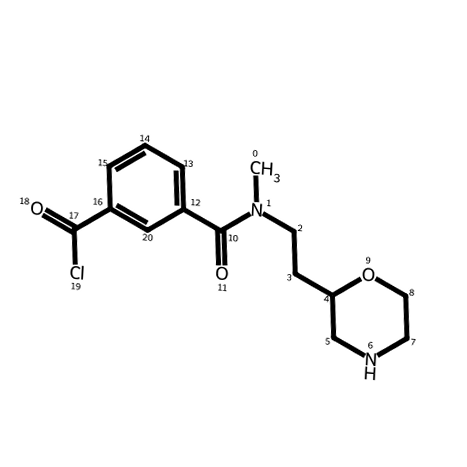 CN(CCC1CNCCO1)C(=O)c1cccc(C(=O)Cl)c1